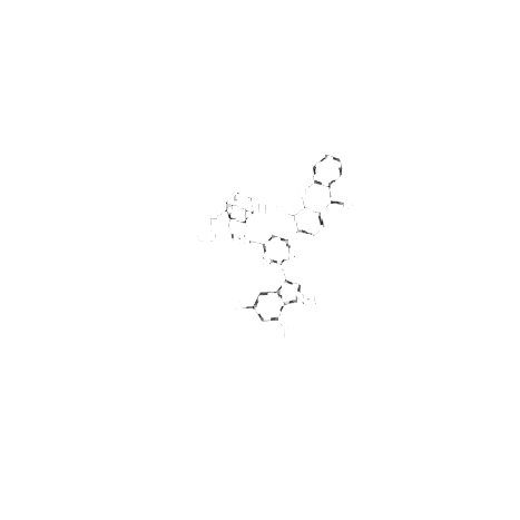 CC1C(c2cc(NC3C4CCC(CC4)[C@H]3C(=O)O)nc(-c3c[nH]c4c(F)cc(F)cc34)n2)=CC=C2C(=O)c3ccccc3OC21